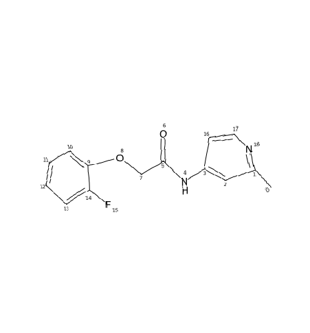 Cc1cc(NC(=O)COc2ccccc2F)ccn1